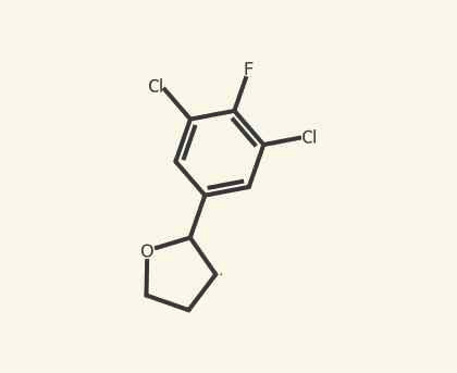 Fc1c(Cl)cc(C2[CH]CCO2)cc1Cl